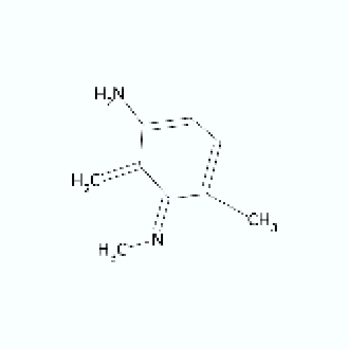 C=C1C(N)=CC=C(C)/C1=N/C